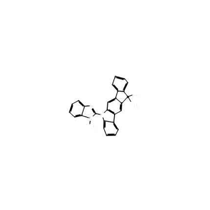 Cn1c(-n2c3ccccc3c3cc4c(cc32)-c2ccccc2C4(C)C)nc2ccccc21